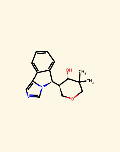 CC1(C)COC[C@@H]([C@@H]2c3ccccc3-c3cncn32)[C@@H]1O